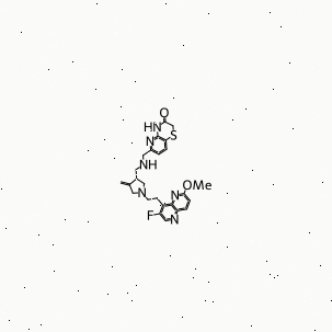 C=C1CN(CCc2c(F)cnc3ccc(OC)nc23)CC1CNCc1ccc2c(n1)NC(=O)CS2